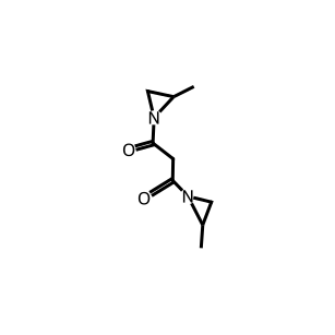 CC1CN1C(=O)CC(=O)N1CC1C